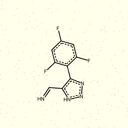 N=Cc1[nH]nnc1-c1c(F)cc(F)cc1F